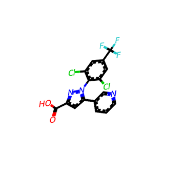 O=C(O)c1cc(-c2cccnc2)n(-c2c(Cl)cc(C(F)(F)F)cc2Cl)n1